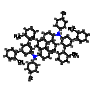 CCc1ccc(N(c2cc(-c3ccccc3C)cc(-c3ccccc3C)c2)c2ccc3ccc4c(N(c5ccc(CC)cc5)c5cc(-c6ccccc6C)cc(-c6ccccc6C)c5)ccc5ccc2c3c54)cc1